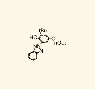 CCCCCCCCOc1cc(-n2nc3ccccc3n2)c(O)c(C(C)(C)C)c1